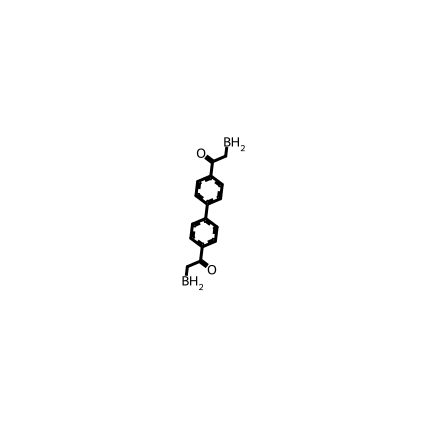 BCC(=O)c1ccc(-c2ccc(C(=O)CB)cc2)cc1